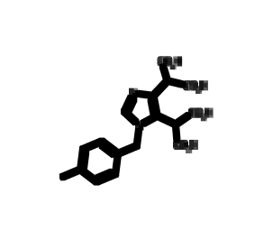 Cc1ccc(Cn2cnc(C(C(=O)O)C(=O)O)c2C(C(=O)O)C(=O)O)cc1